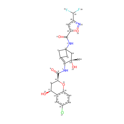 O=C(NC12CC(=C(NC(=O)[C@@H]3C[C@H](O)c4cc(Cl)ccc4O3)[C@@H](O)C1)C2)c1cc(C(F)F)no1